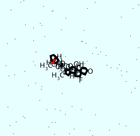 C[C@@H]1[C@@H](OC(=O)O[C@]2(C(=O)O)[C@H](C)C[C@H]3[C@@H]4C[C@H](F)C5=CC(=O)C=C[C@]5(C)[C@@]4(F)[C@@H](O)C[C@@]32C)C[C@H]2CC[C@@H]1C2(C)C